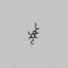 CCOC(=O)c1sc2c(c1C)c(=O)n(CCO)c(=O)n2CC